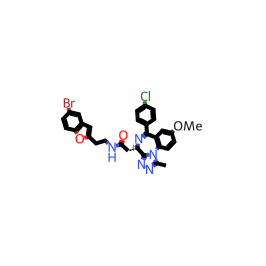 COc1ccc2c(c1)C(c1ccc(Cl)cc1)=N[C@@H](CC(=O)NCCc1cc3cc(Br)ccc3o1)c1nnc(C)n1-2